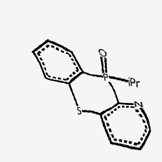 CC(C)P1(=O)c2ccccc2Sc2cccnc21